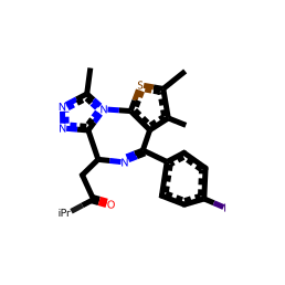 Cc1sc2c(c1C)C(c1ccc(I)cc1)=NC(CC(=O)C(C)C)c1nnc(C)n1-2